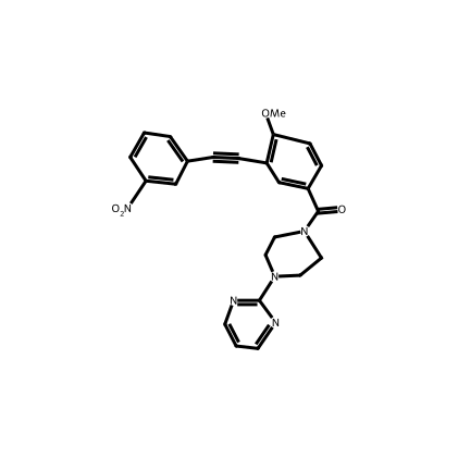 COc1ccc(C(=O)N2CCN(c3ncccn3)CC2)cc1C#Cc1cccc([N+](=O)[O-])c1